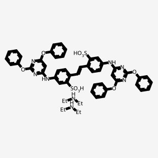 CCNCC.CCNCC.O=S(=O)(O)c1cc(Nc2cc(Oc3ccccc3)nc(Oc3ccccc3)n2)ccc1/C=C/c1ccc(Nc2cc(Oc3ccccc3)nc(Oc3ccccc3)n2)cc1S(=O)(=O)O